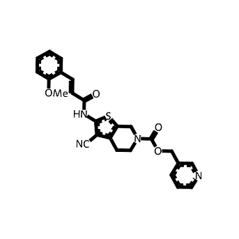 COc1ccccc1/C=C/C(=O)Nc1sc2c(c1C#N)CCN(C(=O)OCc1cccnc1)C2